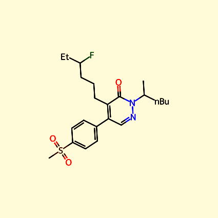 CCCCC(C)n1ncc(-c2ccc(S(C)(=O)=O)cc2)c(CCCC(F)CC)c1=O